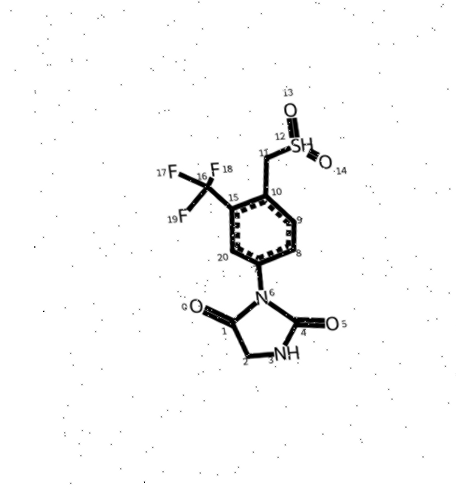 O=C1CNC(=O)N1c1ccc(C[SH](=O)=O)c(C(F)(F)F)c1